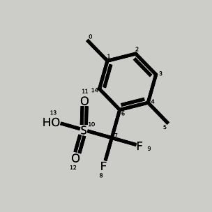 Cc1ccc(C)c(C(F)(F)S(=O)(=O)O)c1